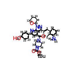 Cc1c(C=Cc2nn(C3CCCCO3)c3nc(-c4ccc(O)cc4)cc(C(=O)N4CCN(C(=O)OC(C)(C)C)CC4)c23)cccc1N(C)C